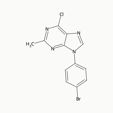 Cc1nc(Cl)c2ncn(-c3ccc(Br)cc3)c2n1